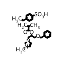 C=C(C)C(=O)OC(COCc1ccccc1)CN1C=CN(C)C1.C=Cc1ccc(S(=O)(=O)O)cc1